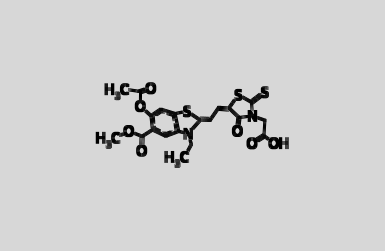 CCN1/C(=C/C=C2/SC(=S)N(CC(=O)O)C2=O)Sc2cc(OC(C)=O)c(C(=O)OC)cc21